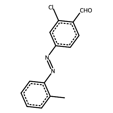 Cc1ccccc1N=Nc1ccc(C=O)c(Cl)c1